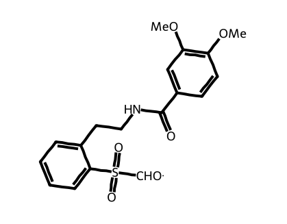 COc1ccc(C(=O)NCCc2ccccc2S(=O)(=O)[C]=O)cc1OC